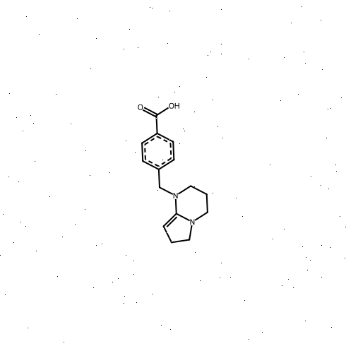 O=C(O)c1ccc(CN2CCCN3CCC=C32)cc1